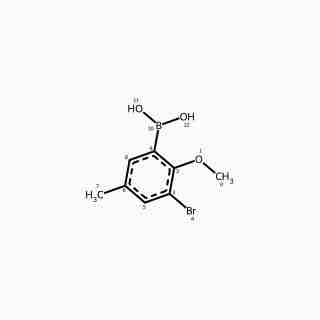 COc1c(Br)cc(C)cc1B(O)O